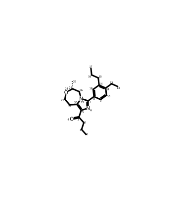 CCCC(=O)c1nc(-c2ccc(CC)c(CCC)c2)n2c1CCO[C@H](C)C2